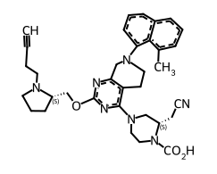 C#CCCN1CCC[C@H]1COc1nc2c(c(N3CCN(C(=O)O)[C@@H](CC#N)C3)n1)CCN(c1cccc3cccc(C)c13)C2